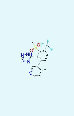 Cc1ccncc1-c1ccc(C(F)(F)F)c(S(C)(=O)=O)c1-c1nnn[nH]1